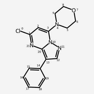 Clc1cc(N2CCOCC2)n2ncc(-c3ccccc3)c2n1